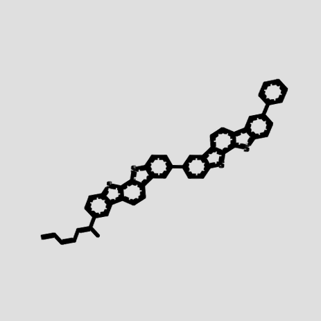 C=C/C=C\C=C(/C)c1ccc2sc3c(ccc4c5cc(-c6ccc7sc8c(ccc9c%10cc(-c%11ccccc%11)ccc%10sc98)c7c6)ccc5sc43)c2c1